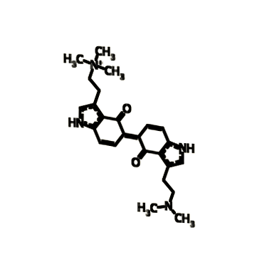 CN(C)CCc1c[nH]c2c1C(=O)C(=C1C=Cc3[nH]cc(CC[N+](C)(C)C)c3C1=O)C=C2